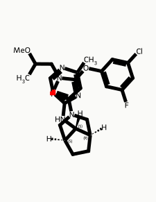 COC(C)Cn1nc(N[C@@H]2[C@@H]3CC[C@H]2CN(c2cc(C)ncn2)C3)nc1Oc1cc(F)cc(Cl)c1